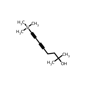 CC(C)(O)CCC#CC#C[Si](C)(C)C